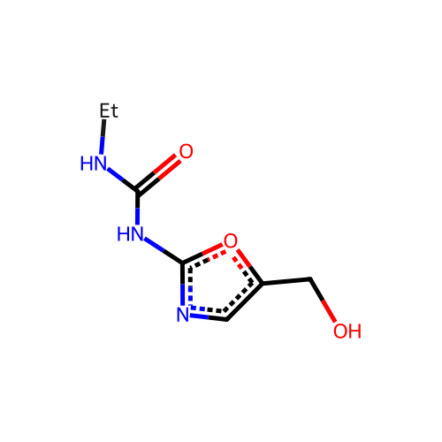 CCNC(=O)Nc1ncc(CO)o1